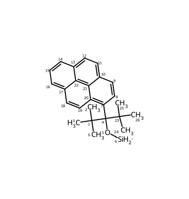 CC(C)(C)C(O[SiH2])(c1ccc2ccc3cccc4ccc1c2c34)C(C)(C)C